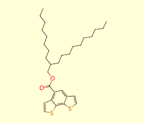 CCCCCCCCCCC(CCCCCCCC)COC(=O)c1cc2ccsc2c2sccc12